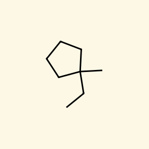 CCC1(C)CCCC1